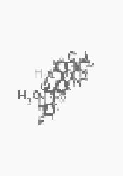 CNC(=O)c1c(-c2ccc(F)cc2)oc2ccc(-c3cc(C(=O)N(c4ccncn4)C4CC4)ccc3C)cc12